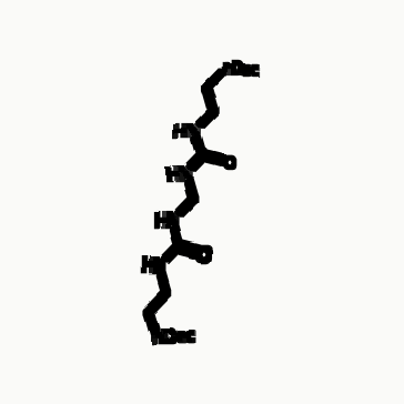 CCCCCCCCCCCCNC(=O)NCNC(=O)NCCCCCCCCCCCC